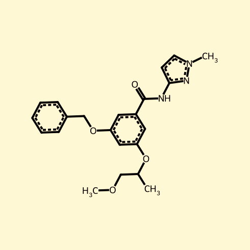 COCC(C)Oc1cc(OCc2ccccc2)cc(C(=O)Nc2ccn(C)n2)c1